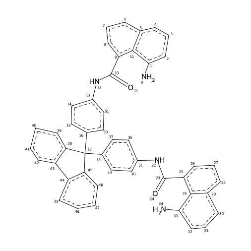 Nc1cccc2cccc(C(=O)Nc3ccc(C4(c5ccc(NC(=O)c6cccc7cccc(N)c67)cc5)c5ccccc5-c5ccccc54)cc3)c12